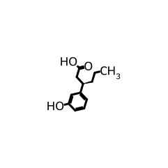 CCC[C@H](CC(=O)O)c1cccc(O)c1